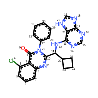 O=c1c2c(Cl)cccc2nc([C@@H](Nc2ncnc3nc[nH]c23)C2CCC2)n1-c1ccccc1